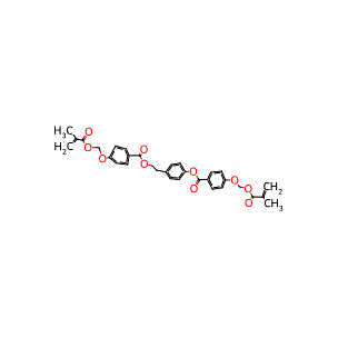 C=C(C)C(=O)OCOc1ccc(C(=O)OCCc2ccc(OC(=O)c3ccc(OCOC(=O)C(=C)C)cc3)cc2)cc1